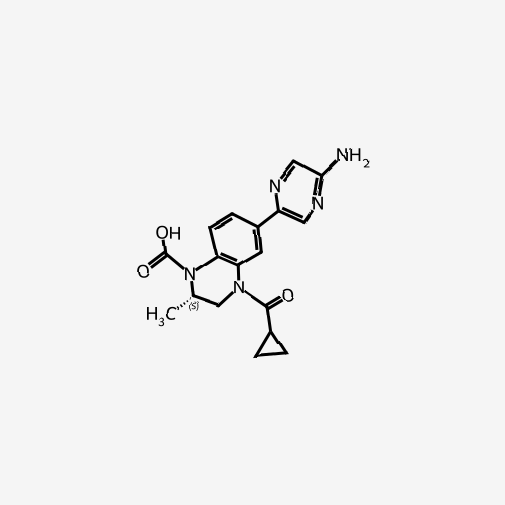 C[C@H]1CN(C(=O)C2CC2)c2cc(-c3cnc(N)cn3)ccc2N1C(=O)O